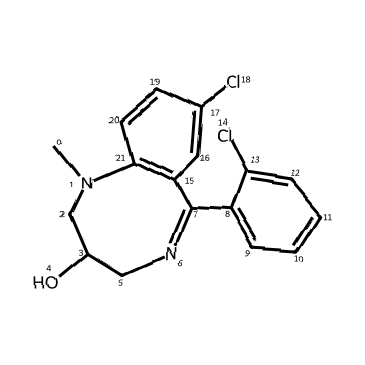 CN1CC(O)C/N=C(/c2ccccc2Cl)c2cc(Cl)ccc21